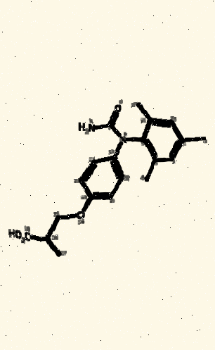 Cc1cc(C)c(N(C(N)=O)c2ccc(OCC(C)C(=O)O)cc2)c(C)c1